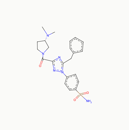 CN(C)[C@H]1CCN(C(=O)c2nc(Cc3ccccc3)n(-c3ccc(S(N)(=O)=O)cc3)n2)C1